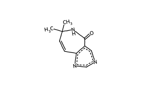 CC1(C)C=Cc2ncncc2C(=O)N1